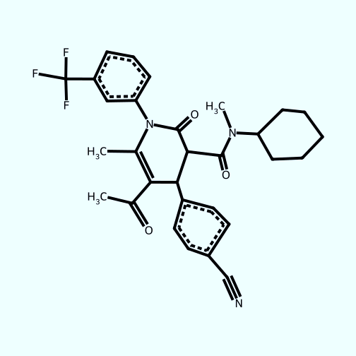 CC(=O)C1=C(C)N(c2cccc(C(F)(F)F)c2)C(=O)C(C(=O)N(C)C2CCCCC2)C1c1ccc(C#N)cc1